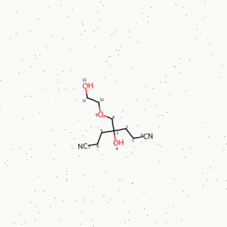 N#CCCC(O)(CCC#N)COCCO